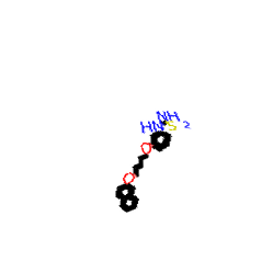 NC(=S)Nc1cccc(OCCCCCOc2ccc3ccccc3c2)c1